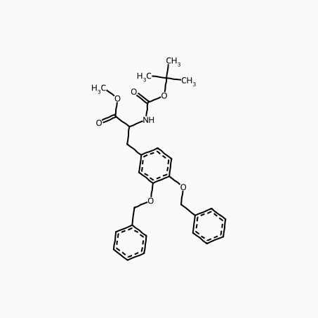 COC(=O)C(Cc1ccc(OCc2ccccc2)c(OCc2ccccc2)c1)NC(=O)OC(C)(C)C